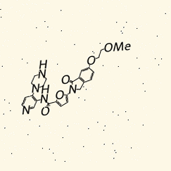 COCCOc1ccc2c(c1)C(=O)N(c1ccc(C(=O)Nc3cnccc3N3CCNCC3)o1)C2